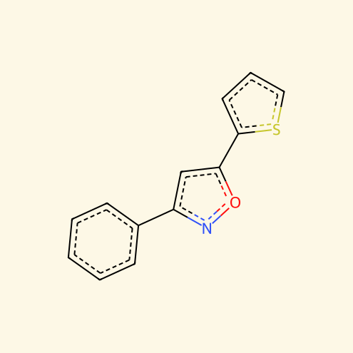 c1ccc(-c2cc(-c3cccs3)on2)cc1